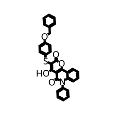 O=c1oc2c(c(O)c1Sc1ccc(OCc3ccccc3)cc1)c(=O)n(-c1ccccc1)c1ccccc21